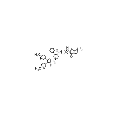 Cc1ccc(-c2sc(C(=O)N3CC[C@@H](C(=O)N4CCC(O)(Cn5cnc6c(ccn6C)c5=O)CC4)[C@H](c4ccccc4)C3)c(F)c2-c2ccc(C)nc2)cn1